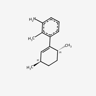 Cc1c(N)cccc1C1=C[C@H](C)CC[C@H]1C